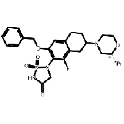 CC(C)[C@@H]1CN(C2CCc3cc(OCc4ccccc4)c(N4CC(=O)NS4(=O)=O)c(F)c3C2)CCO1